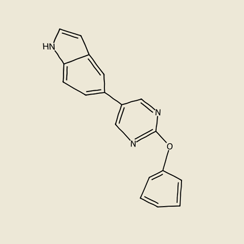 c1ccc(Oc2ncc(-c3ccc4[nH]ccc4c3)cn2)cc1